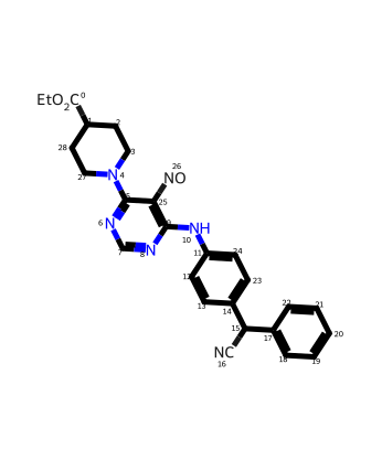 CCOC(=O)C1CCN(c2ncnc(Nc3ccc(C(C#N)c4ccccc4)cc3)c2N=O)CC1